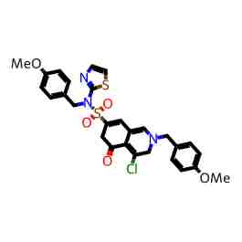 COc1ccc(CN2C=C3C=C(S(=O)(=O)N(Cc4ccc(OC)cc4)c4nccs4)CC(=O)C3=C(Cl)C2)cc1